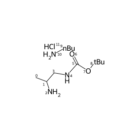 CC(N)CNC(=O)OC(C)(C)C.CCCCN.Cl